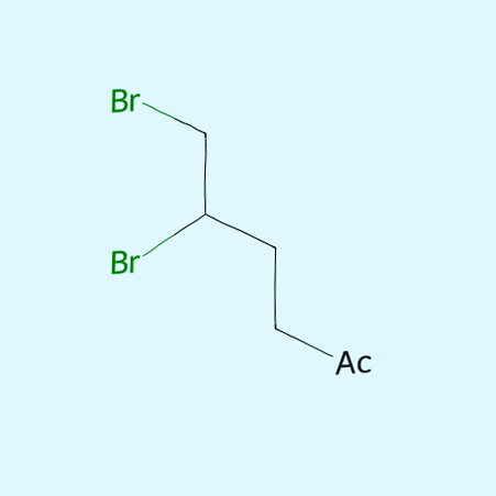 CC(=O)CCC(Br)CBr